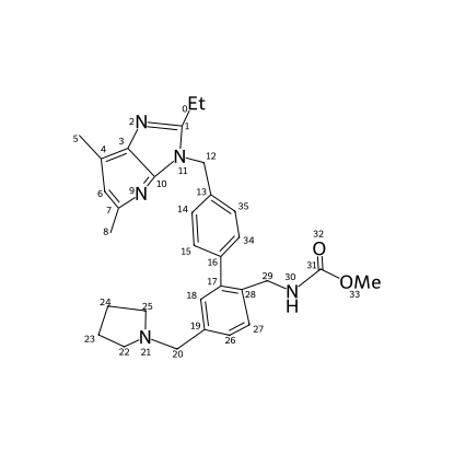 CCc1nc2c(C)cc(C)nc2n1Cc1ccc(-c2cc(CN3CCCC3)ccc2CNC(=O)OC)cc1